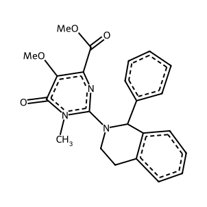 COC(=O)c1nc(N2CCc3ccccc3C2c2ccccc2)n(C)c(=O)c1OC